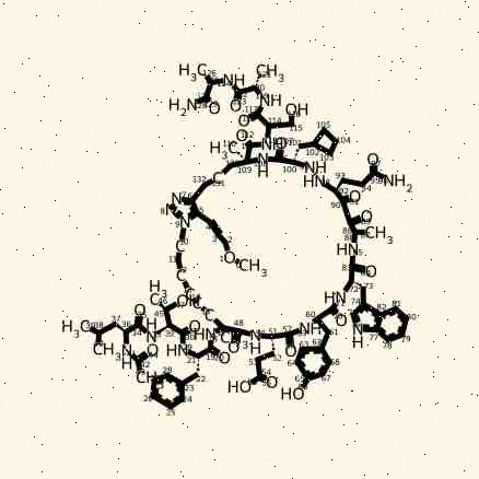 COC/C=C/c1c2nnn1CCCCCC[C@@](C)(NC(=O)[C@H](Cc1ccccc1)NC(=O)[C@@H](NC(=O)[C@H](CC(C)C)NC(C)=O)[C@@H](C)O)C(=O)N[C@@H](CCC(=O)O)C(=O)NC(Cc1ccc(O)cc1)C(=O)N[C@@H](Cc1c[nH]c3ccccc13)C(=O)NC(C)C(=O)C(=O)[C@H](CCC(N)=O)NN[C@@H](CC1CCC1)C(=O)N[C@](C)(C(=O)NC(CO)C(=O)N[C@@H](C)C(=O)NC(C)C(N)=O)CCC2